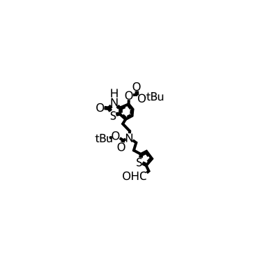 CC(C)(C)OC(=O)Oc1ccc(CCN(CCc2ccc(CC=O)s2)C(=O)OC(C)(C)C)c2sc(=O)[nH]c12